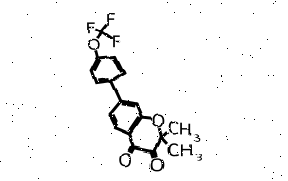 CC1(C)Oc2cc(-c3ccc(OC(F)(F)F)cc3)ccc2C(=O)C1=O